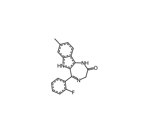 Cc1ccc2c3c([nH]c2c1)C(c1ccccc1F)=NCC(=O)N3